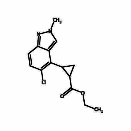 CCOC(=O)C1CC1c1c(Cl)ccc2nn(C)cc12